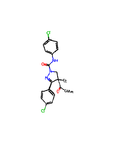 CCC1(C(=O)OC)CN(C(=O)Nc2ccc(Cl)cc2)N=C1c1ccc(Cl)cc1